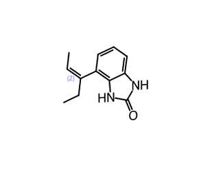 C/C=C(/CC)c1cccc2[nH]c(=O)[nH]c12